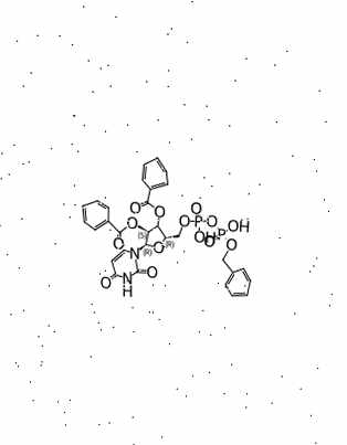 O=C(OC1[C@@H](COP(=O)(O)OP(=O)(O)OCc2ccccc2)O[C@@H](n2ccc(=O)[nH]c2=O)[C@H]1OC(=O)c1ccccc1)c1ccccc1